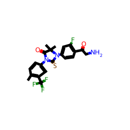 Cc1ccc(N2C(=O)C(C)(C)N(c3ccc(C(=O)CN)c(F)c3)C2=S)cc1C(F)(F)F